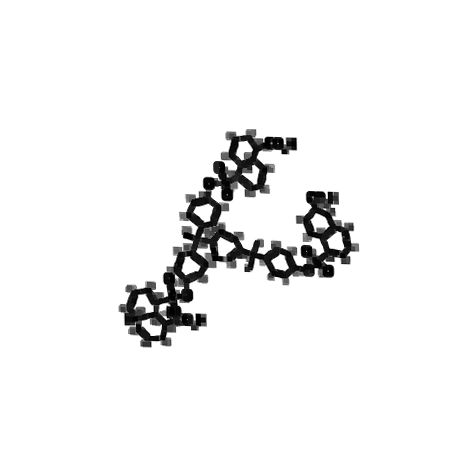 CC(C)(c1ccc(OS(=O)(=O)c2cccc3c2C=CC(C(=O)O)C3)cc1)c1ccc([C@](C)(c2ccc(OS(=O)(=O)C3=CC=C[C@H]4C=CCC(C(=O)O)[C@H]34)cc2)c2ccc(OS(=O)(=O)c3cccc4c3C=CCC4C(=O)O)cc2)cc1